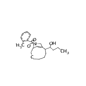 CCCC(O)C1CCCCCCC2C=C1CN2S(=O)(=O)c1ccccc1C